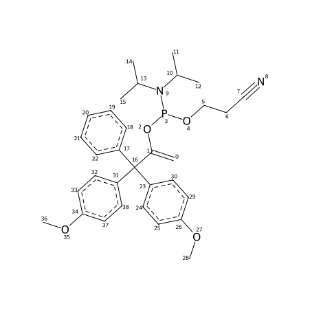 C=C(OP(OCCC#N)N(C(C)C)C(C)C)C(c1ccccc1)(c1ccc(OC)cc1)c1ccc(OC)cc1